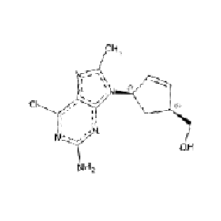 Cc1nc2c(Cl)nc(N)nc2n1[C@H]1C=C[C@@H](CO)C1